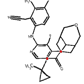 Cc1c(F)ccc(Nc2ncnc(OC3C4COCC3CN(C(=O)OC3(C)CC3)C4)c2F)c1C#N